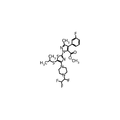 COC(=O)c1c(-c2cccc(F)c2)c(C)nn1-c1nc(N2CCN(C(F)C(F)F)CC2)c(SC(C)C)s1